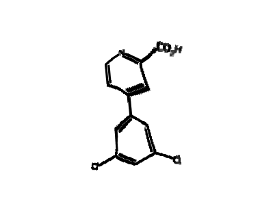 O=C(O)c1cc(-c2cc(Cl)cc(Cl)c2)ccn1